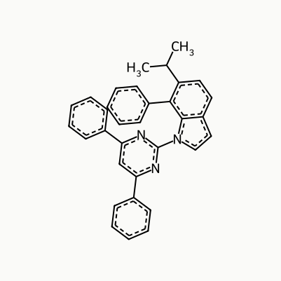 CC(C)c1ccc2ccn(-c3nc(-c4ccccc4)cc(-c4ccccc4)n3)c2c1-c1ccccc1